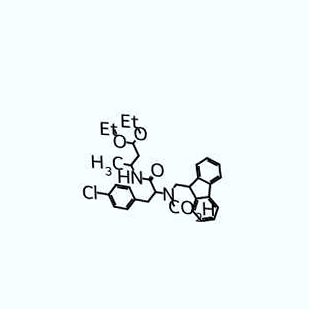 CCOC(CC(C)NC(=O)C(Cc1ccc(Cl)cc1)N(CC1c2ccccc2-c2ccccc21)C(=O)O)OCC